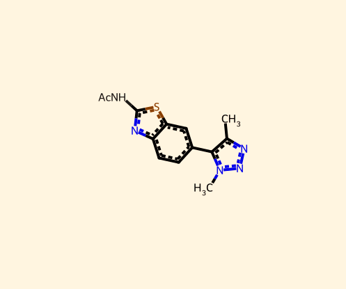 CC(=O)Nc1nc2ccc(-c3c(C)nnn3C)cc2s1